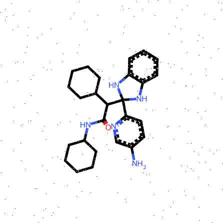 Nc1ccc(C2(C(C(=O)NC3CCCCC3)C3CCCCC3)Nc3ccccc3N2)nc1